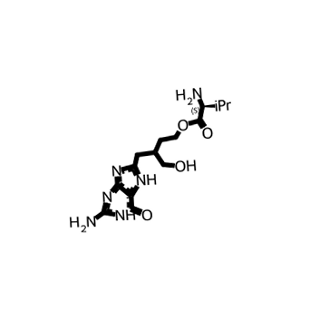 CC(C)[C@H](N)C(=O)OCCC(CO)Cc1nc2nc(N)[nH]c(=O)c2[nH]1